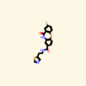 O=C(NCCc1cncs1)c1ccc2c(c1)NC(=O)c1cc(F)ccc1S2